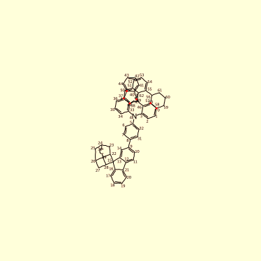 c1ccc(N(c2ccc(-c3ccc4c(c3)C3(c5ccccc5-4)C4CC5CC6CC3C64C5)cc2)c2cccc3c2sc2ccccc23)c(-c2cccc3cccc(C4CCCCC4)c23)c1